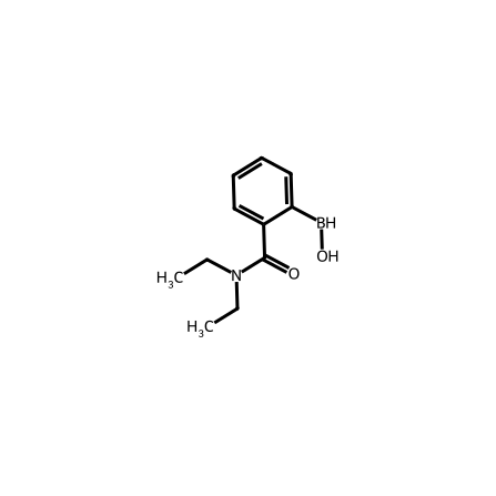 CCN(CC)C(=O)c1ccccc1BO